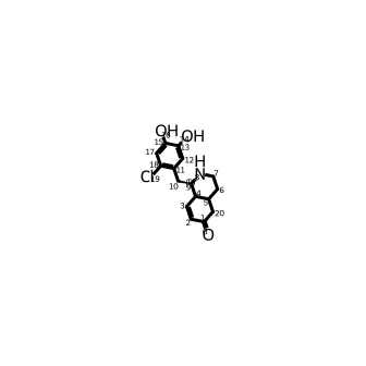 O=C1C=CC2C(CCN[C@@H]2Cc2cc(O)c(O)cc2Cl)C1